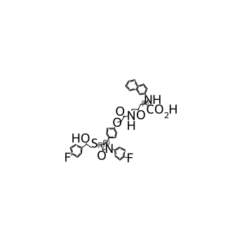 O=C(CNC(=O)COc1ccc([C@@H]2[C@@H](SCC(O)c3ccc(F)cc3)C(=O)N2c2ccc(F)cc2)cc1)C[C@@H](Nc1ccc2ccccc2c1)C(=O)O